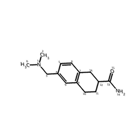 CN(C)Cc1ccc2c(c1)CCC(C(N)=O)C2